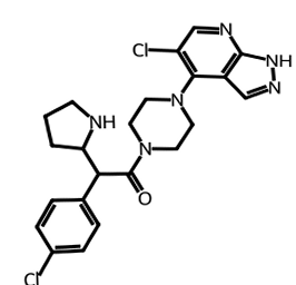 O=C(C(c1ccc(Cl)cc1)C1CCCN1)N1CCN(c2c(Cl)cnc3[nH]ncc23)CC1